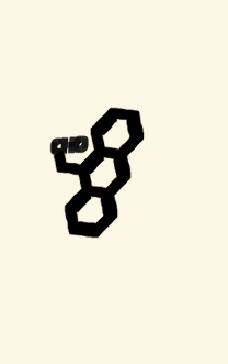 O=CCc1c2ccccc2cc2ccccc12